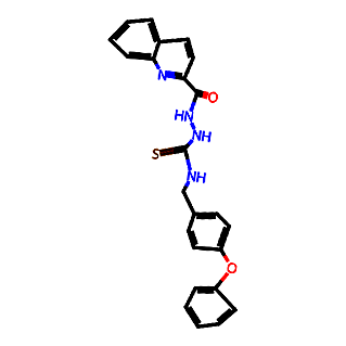 O=C(NNC(=S)NCc1ccc(Oc2ccccc2)cc1)c1ccc2ccccc2n1